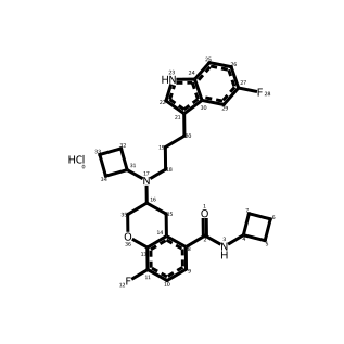 Cl.O=C(NC1CCC1)c1ccc(F)c2c1CC(N(CCCc1c[nH]c3ccc(F)cc13)C1CCC1)CO2